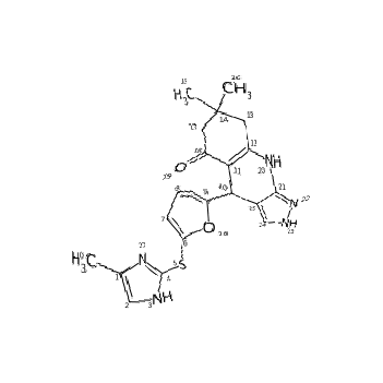 Cc1c[nH]c(Sc2ccc(C3C4=C(CC(C)(C)CC4=O)Nc4n[nH]cc43)o2)n1